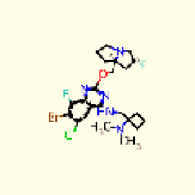 CN(C)C1(CNc2nc(OC[C@@]34CCCN3C[C@H](F)C4)nc3c(F)c(Br)c(Cl)cc23)CCC1